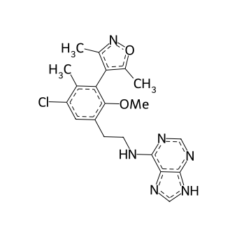 COc1c(CCNc2ncnc3[nH]cnc23)cc(Cl)c(C)c1-c1c(C)noc1C